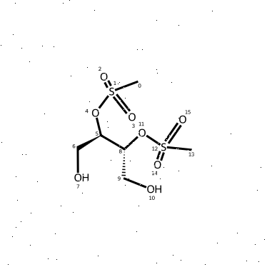 CS(=O)(=O)O[C@H](CO)[C@@H](CO)OS(C)(=O)=O